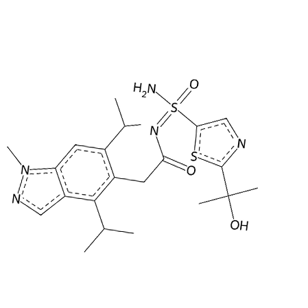 CC(C)c1cc2c(cnn2C)c(C(C)C)c1CC(=O)N=S(N)(=O)c1cnc(C(C)(C)O)s1